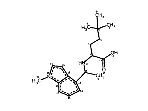 CC(NC(CCC(C)(C)C)C(=O)O)c1cccc2c1ccn2C